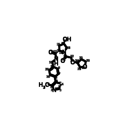 Cc1ncsc1-c1ccc(CNC(=O)[C@@H]2C[C@@H](O)CN2C(=O)CO[C@H]2CCOC2)cc1